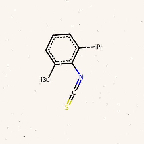 CCC(C)c1cccc(C(C)C)c1N=C=S